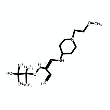 COCCN1CCC(N/C=C(/BOC(C)(C)C(C)(C)O)C=N)CC1